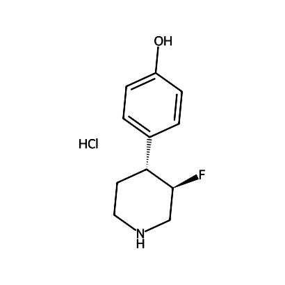 Cl.Oc1ccc([C@H]2CCNC[C@@H]2F)cc1